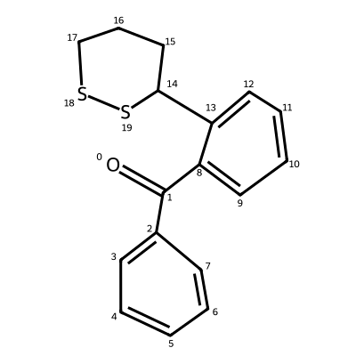 O=C(c1ccccc1)c1ccccc1C1CCCSS1